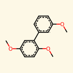 COc1[c]c(-c2cc(OC)ccc2OC)ccc1